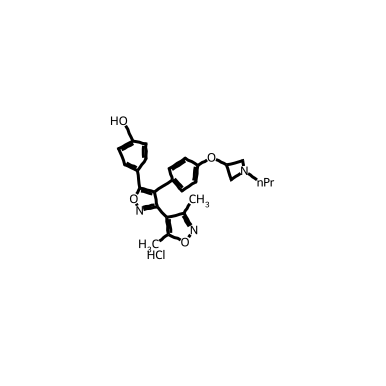 CCCN1CC(Oc2ccc(-c3c(-c4c(C)noc4C)noc3-c3ccc(O)cc3)cc2)C1.Cl